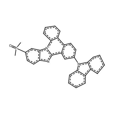 CP(C)(=O)c1ccc2nc3c4cc(-n5c6ccccc6c6ccccc65)ccc4c4ccccc4n3c2c1